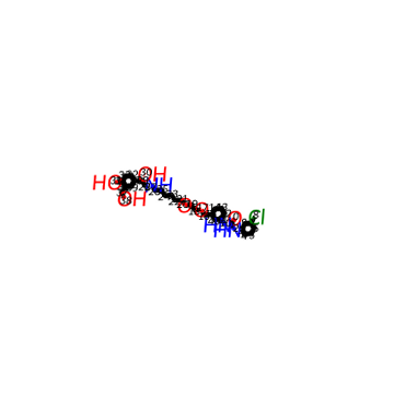 O=C(Nc1cccc(Cl)c1)Nc1cccc(COCCOCCCCCCNC[C@@H](O)c2ccc(O)c(CO)c2)c1